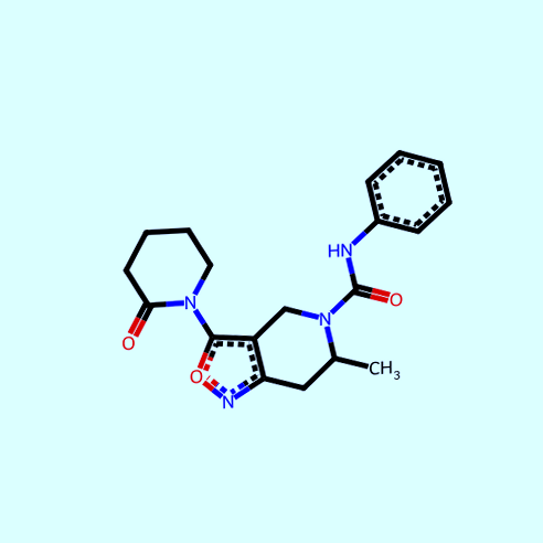 CC1Cc2noc(N3CCCCC3=O)c2CN1C(=O)Nc1ccccc1